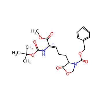 COC(=O)/C(=C/CCC1C(=O)OCN1C(=O)OCc1ccccc1)NC(=O)OC(C)(C)C